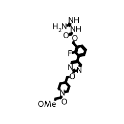 COCC(=O)N1CCC(COc2ncc(-c3cccc(COC(=O)NC(=N)N)c3F)cn2)CC1